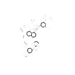 COCCOCCOCCOc1cc(Nc2nccc(Oc3ccc(NC(=O)Nc4cc(C(C)(C)C)cc(NSC)c4OC)c4ccccc34)n2)cc(OC(F)F)c1